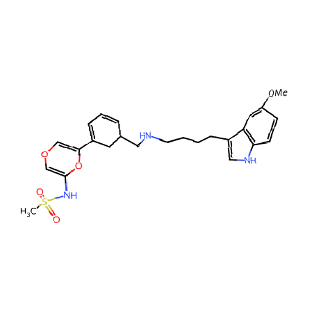 COc1ccc2[nH]cc(CCCCNCC3C=CC=C(C4=COC=C(NS(C)(=O)=O)O4)C3)c2c1